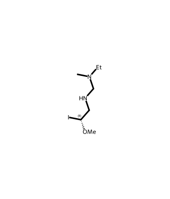 CCN(C)CNC[C@@H](I)OC